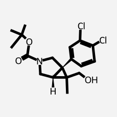 CC(C)(C)OC(=O)N1C[C@H]2C(C)(CO)[C@@]2(c2ccc(Cl)c(Cl)c2)C1